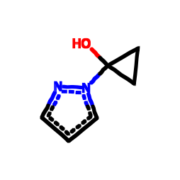 OC1(n2cccn2)CC1